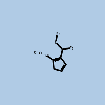 CCSC(CC)C1=[C]([Ti+2])CC=C1.[Cl-].[Cl-]